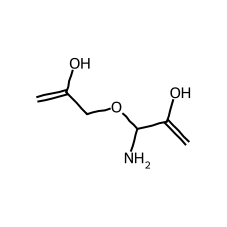 C=C(O)COC(N)C(=C)O